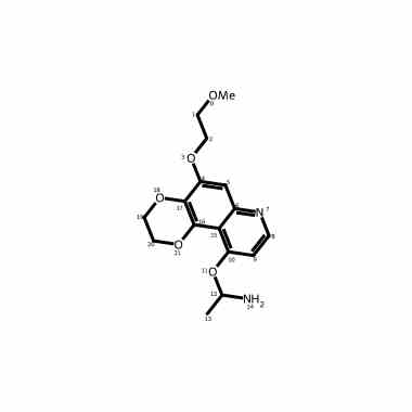 COCCOc1cc2nccc(OC(C)N)c2c2c1OCCO2